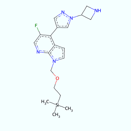 C[Si](C)(C)CCOCn1ccc2c(-c3cnn(C4CNC4)c3)c(F)cnc21